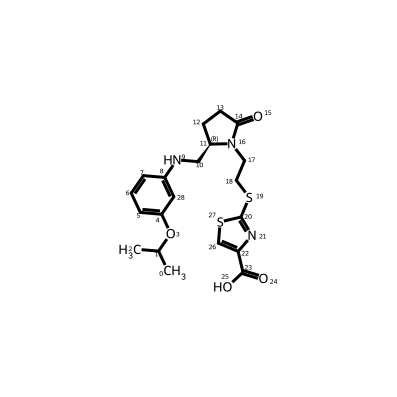 CC(C)Oc1cccc(NC[C@H]2CCC(=O)N2CCSc2nc(C(=O)O)cs2)c1